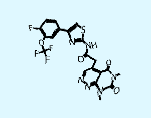 Cn1c(=O)c2c(CC(=O)Nc3nc(-c4ccc(F)c(OC(F)(F)F)c4)cs3)cnnc2n(C)c1=O